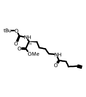 C#CCCC(=O)NCCCC[C@H](NC(=O)OC(C)(C)C)C(=O)OC